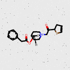 O=C(Cc1ccccc1)O[C@H]1C[N+]2(CC(=O)C3CC=CS3)CCC1CC2